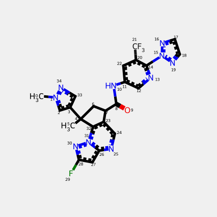 Cn1cc(C2(C)CC(C(=O)Nc3cnc(-n4nccn4)c(C(F)(F)F)c3)c3cnc4cc(F)nn4c32)cn1